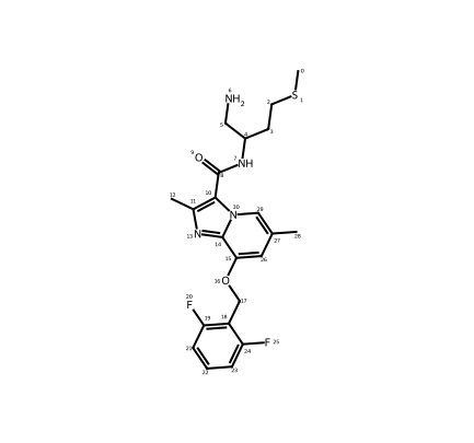 CSCCC(CN)NC(=O)c1c(C)nc2c(OCc3c(F)cccc3F)cc(C)cn12